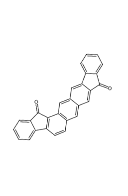 O=c1c2ccccc2c2cc3cc4c(ccc5c6ccccc6c(=O)c45)cc3cc12